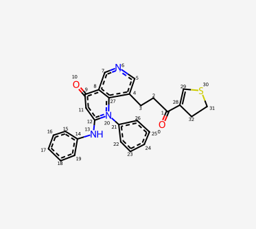 O=C(CCc1cncc2c(=O)cc(Nc3ccccc3)n(-c3ccccc3)c12)C1=CSCC1